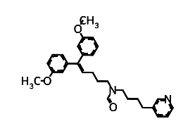 COc1cccc(C(=CCCCN(C=O)CCCCc2cccnc2)c2cccc(OC)c2)c1